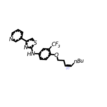 CCCC/C=C\CCOc1ccc(Nc2nc(-c3cccnc3)cs2)cc1C(F)(F)F